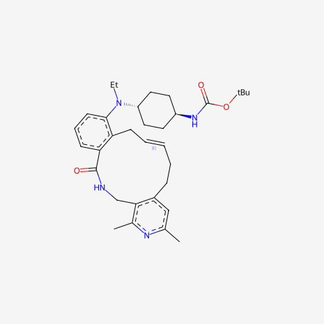 CCN(c1cccc2c1C/C=C/CCc1cc(C)nc(C)c1CNC2=O)[C@H]1CC[C@H](NC(=O)OC(C)(C)C)CC1